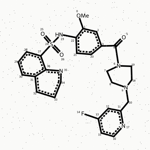 COc1cc(C(=O)N2CCN(Cc3cc(F)ccn3)CC2)ccc1NS(=O)(=O)c1cccc2cccnc12